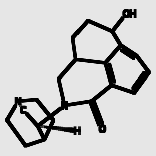 O=C1c2cccc3c2C(CCC3O)CN1[C@@H]1CN2CCC1CC2